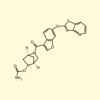 NC(=O)ON1C[C@@H]2C[C@H]1CN2C(=O)c1coc2cc(Oc3nc4ncccc4s3)ccc12